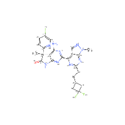 Cn1ncc2c(-c3nc(N)c4c(n3)NC(=O)C4(C)c3ccc(F)cn3)nc(CCC3CC(F)(F)C3)nc21